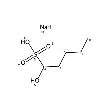 CCCCC(O)S(=O)(=O)O.[NaH]